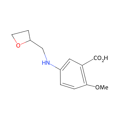 COc1ccc(NCC2CCO2)cc1C(=O)O